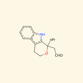 CCCC1(C[C]=O)OCCc2c1[nH]c1ccccc21